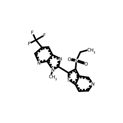 CCS(=O)(=O)c1c(-c2nc3cc(C(F)(F)F)cnc3n2C)sc2ccncc12